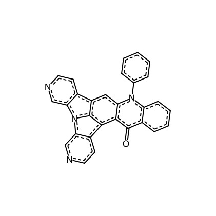 O=c1c2ccccc2n(-c2ccccc2)c2cc3c4ccncc4n4c5cnccc5c(c12)c34